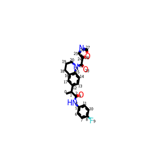 CC(C(=O)Nc1ccc(F)cc1)c1ccc2c(c1)CCCN2C(=O)c1cnco1